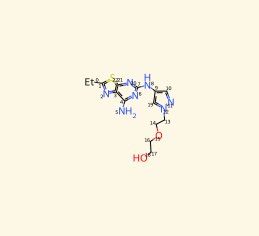 CCc1nc2c(N)nc(Nc3cnn(CCOCCO)c3)nc2s1